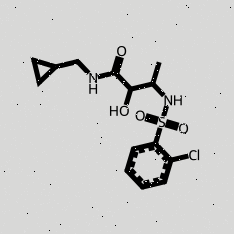 CC(NS(=O)(=O)c1ccccc1Cl)C(O)C(=O)NCC1CC1